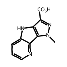 Cn1nc(C(=O)O)c2[nH]c3cccnc3c21